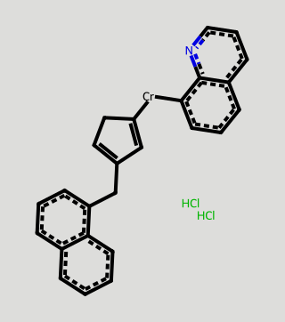 C1=C(Cc2cccc3ccccc23)C=[C]([Cr][c]2cccc3cccnc23)C1.Cl.Cl